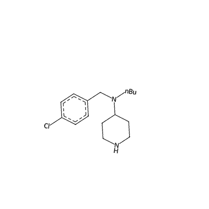 CCCCN(Cc1ccc(Cl)cc1)C1CCNCC1